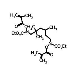 C=C(C)C(=O)ON(CCC(C)CC(C)(C)CN(OC(=O)C(=C)C)C(=O)OCC)C(=O)OCC